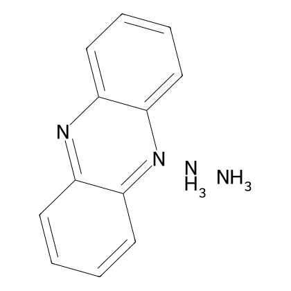 N.N.c1ccc2nc3ccccc3nc2c1